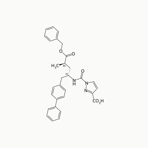 C[C@H](C[C@@H](Cc1ccc(-c2ccccc2)cc1)NC(=O)n1ccc(C(=O)O)n1)C(=O)OCc1ccccc1